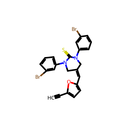 C#Cc1ccc(C=C2CN(c3cccc(Br)c3)C(=S)N(c3cccc(Br)c3)C2)o1